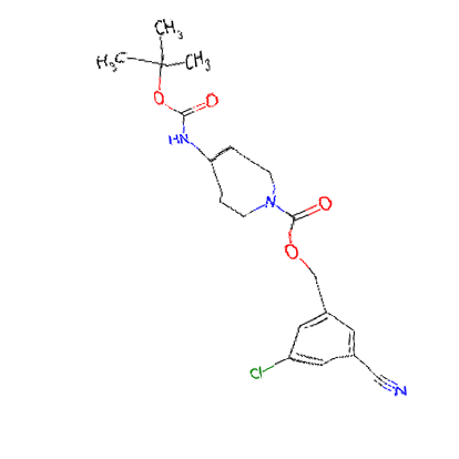 CC(C)(C)OC(=O)NC1CCN(C(=O)OCc2cc(Cl)cc(C#N)c2)CC1